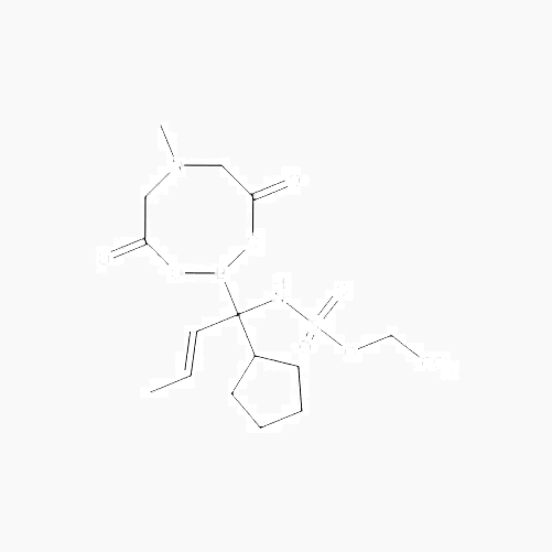 C/C=C/C(NS(=O)(=O)OCC(Cl)(Cl)Cl)(B1OC(=O)CN(C)CC(=O)O1)C1CCCC1